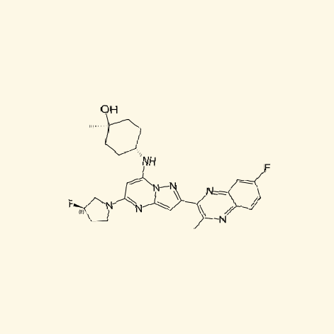 Cc1nc2ccc(F)cc2nc1-c1cc2nc(N3CC[C@@H](F)C3)cc(N[C@H]3CC[C@](C)(O)CC3)n2n1